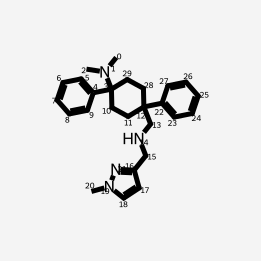 CN(C)C1(c2ccccc2)CCC(CNCc2ccn(C)n2)(c2ccccc2)CC1